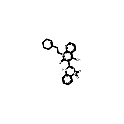 O=c1c(C2=NS(=O)(=O)c3ccccc3N2)c(O)c2cccnc2n1CCC1=CCCCC1